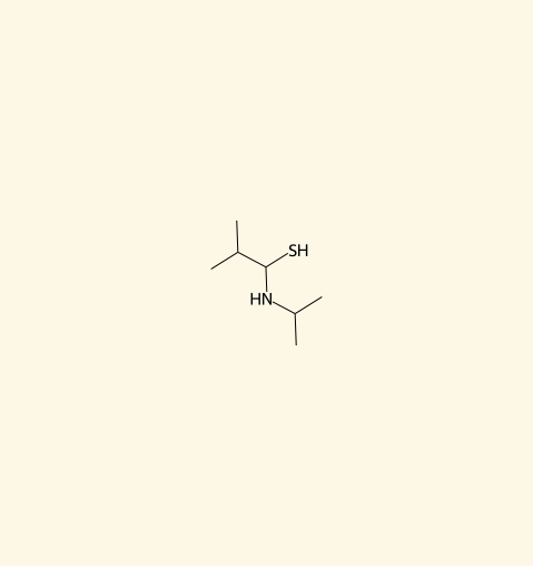 CC(C)NC(S)C(C)C